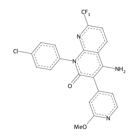 COc1cc(-c2c(N)c3ccc(C(F)(F)F)nc3n(-c3ccc(Cl)cc3)c2=O)ccn1